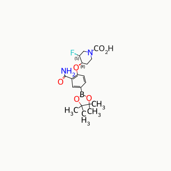 CC1(C)OB(c2ccc(O[C@@H]3CCN(C(=O)O)C[C@@H]3F)c(C(N)=O)c2)OC1(C)C